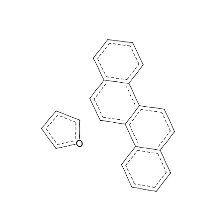 c1ccc2c(c1)ccc1c3ccccc3ccc21.c1ccoc1